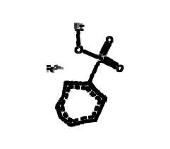 CCOS(=O)(=O)c1ccccc1.[Fe+3]